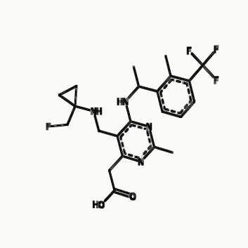 Cc1nc(CC(=O)O)c(CNC2(CF)CC2)c(NC(C)c2cccc(C(F)(F)F)c2C)n1